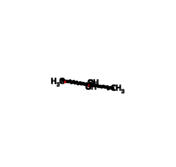 CCCCCCCCCCCCCCCCC(O)C(O)CCCCCCCCCCCCCC